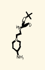 CC(C)(C)OC(=O)NCCN1CCC(N)CC1